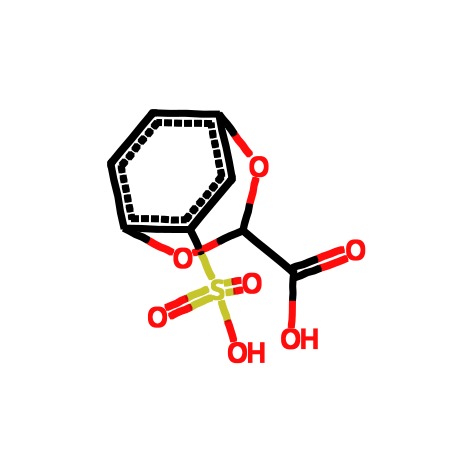 O=C(O)C1Oc2ccc(c(S(=O)(=O)O)c2)O1